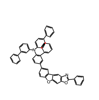 c1ccc(-c2ccc(N(c3cccc(-c4ccccc4)c3)c3ccc(-c4ccc5oc6cc7oc(-c8ccccc8)nc7cc6c5c4)cc3-c3ccccc3)cc2)cc1